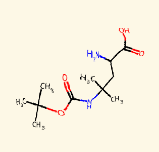 CC(C)(CC(N)C(=O)O)NC(=O)OC(C)(C)C